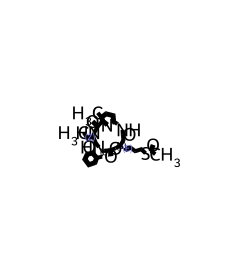 C/C=C1\NC(=O)c2nc(ccc2C)CNC(=O)C[C@@H](/C=C/CCSC(C)=O)OC(=O)[C@H](Cc2ccccc2)NC1=O